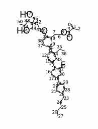 C=C(C)C(=O)OCCc1cc(-c2ccc(-c3ccc(-c4ccc(CCCCC)cc4)cc3F)cc2CC)ccc1OCCC(CO)(CO)CCC